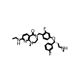 CCNc1ccc2c(n1)N(C)CCN(Cc1ccc(O[C@H](CCNC)c3cccc(F)c3)cc1F)C2=O